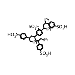 CC(C)CC(CC(CC(CC(C)C)c1ccc(S(=O)(=O)O)cc1)c1ccc(C(CC(c2ccc(S(=O)(=O)O)cc2)C(C)C)C(C)C)c(S(=O)(=O)O)c1)c1ccc(S(=O)(=O)O)cc1